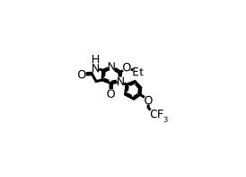 CCOc1nc2c(c(=O)n1-c1ccc(OCC(F)(F)F)cc1)CC(=O)N2